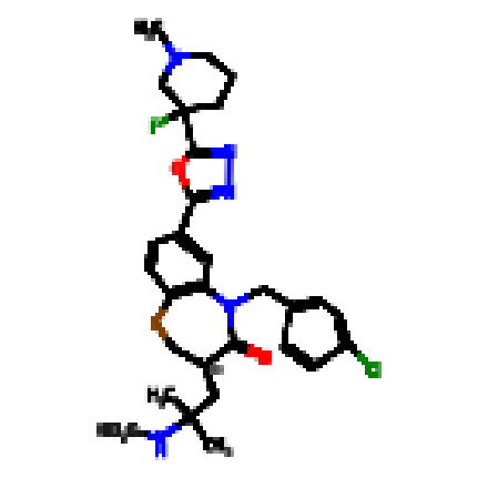 CN1CCCC(F)(c2nnc(-c3ccc4c(c3)N(Cc3ccc(Cl)cc3)C(=O)[C@@H](CC(C)(C)NC(=O)O)CS4)o2)C1